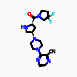 N#Cc1nccnc1N1CCN([C@@H]2CN[C@H](C(=O)N3CCC(F)(F)C3)C2)CC1